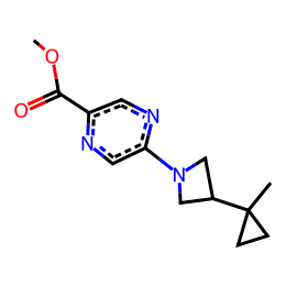 COC(=O)c1cnc(N2CC(C3(C)CC3)C2)cn1